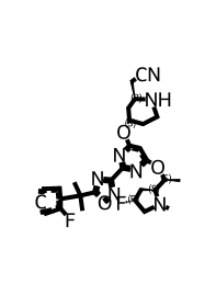 C[C@H](Oc1cc(O[C@H]2CCN[C@H](CC#N)C2)nc(-c2noc(C(C)(C)c3ccccc3F)n2)n1)[C@@H]1C[C@@H](F)CN1C